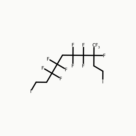 FC(F)(F)C(F)(CCI)C(F)(F)C(F)(F)CC(F)(F)C(F)(F)CCI